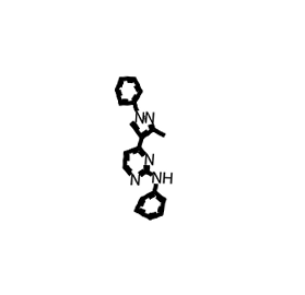 Cc1nn(-c2ccccc2)cc1-c1ccnc(Nc2ccccc2)n1